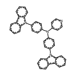 c1ccc2c(c1)c1ccccc1n2-c1ccc(N(c2ccncc2)c2ccc(-n3c4ccccc4c4ccccc43)cc2)cc1